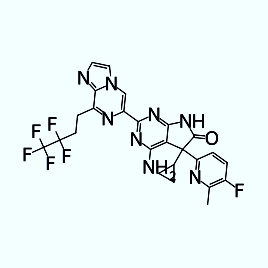 Cc1nc(C2(C3CC3)C(=O)Nc3nc(-c4cn5ccnc5c(CCC(F)(F)C(F)(F)F)n4)nc(N)c32)ccc1F